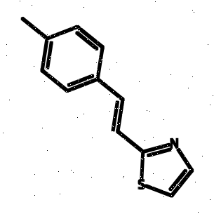 Cc1ccc(/C=C/c2nccs2)cc1